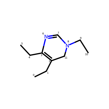 CCC1=C(CC)N=CN(CC)C1